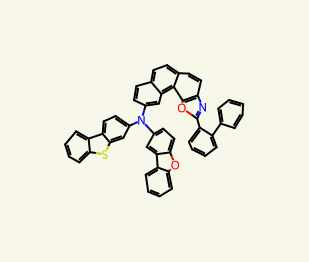 c1ccc(-c2ccccc2-c2nc3ccc4ccc5ccc(N(c6ccc7c(c6)sc6ccccc67)c6ccc7oc8ccccc8c7c6)cc5c4c3o2)cc1